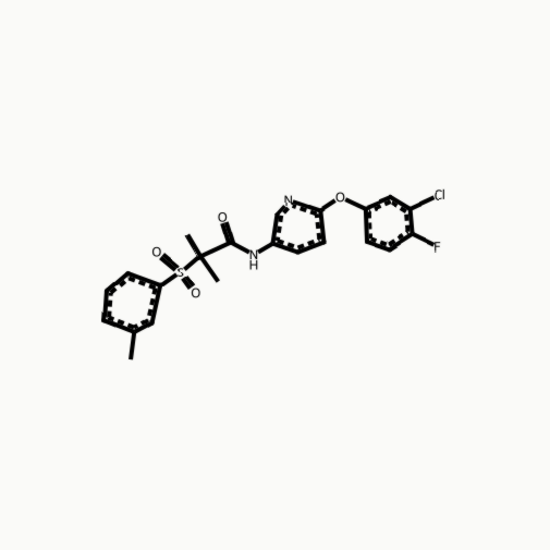 Cc1cccc(S(=O)(=O)C(C)(C)C(=O)Nc2ccc(Oc3ccc(F)c(Cl)c3)nc2)c1